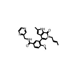 C/C=C/Cn1cc(-c2cc(C(=O)NCc3cnccn3)ccc2OC)c2cc(C)[nH]c2c1=O